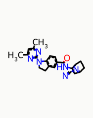 Cc1cc(C)nc(N2CCc3cc(C(=O)NC4CC5CCC4N5C#N)ccc32)n1